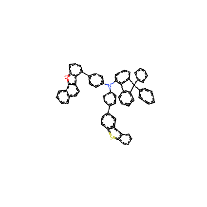 c1ccc(C2(c3ccccc3)c3ccccc3-c3c(N(c4ccc(-c5ccc6sc7ccccc7c6c5)cc4)c4ccc(-c5cccc6oc7c8ccccc8ccc7c56)cc4)cccc32)cc1